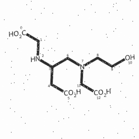 O=C(O)CNC(CC(=O)O)CN(CCO)CC(=O)O